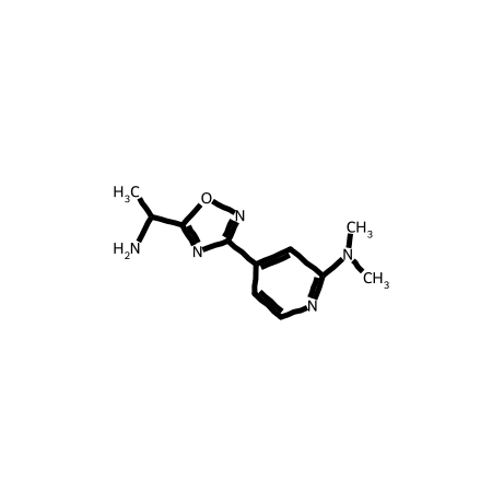 CC(N)c1nc(-c2ccnc(N(C)C)c2)no1